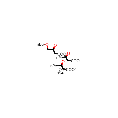 CCCC(=O)CC(=O)[O-].CCCC(=O)CC(=O)[O-].CCCCOCC(=O)CC(=O)[O-].[Zr+4].[Zr+4]